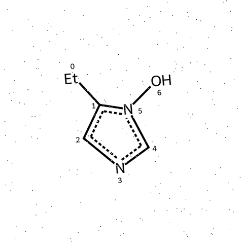 CCc1cncn1O